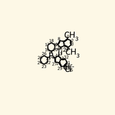 Cc1ccc(C)c2c1C=C[CH]2[Ti+2][CH]1C(P(C2CCCCC2)C2CCCCC2)=Cc2ccccc21.[Cl-].[Cl-]